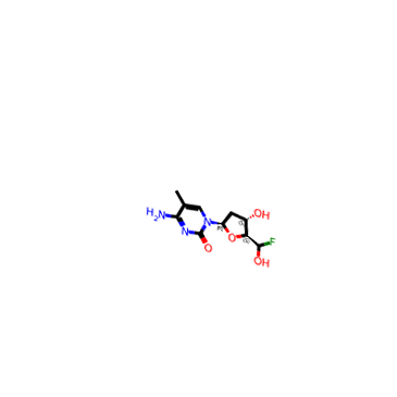 Cc1cn([C@H]2C[C@H](O)[C@@H](C(O)F)O2)c(=O)nc1N